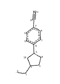 [CH2]CC1C[CH]C(c2ccc(C#N)cc2)C1